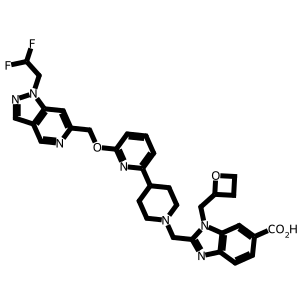 O=C(O)c1ccc2nc(CN3CCC(c4cccc(OCc5cc6c(cn5)cnn6CC(F)F)n4)CC3)n(CC3CCO3)c2c1